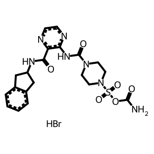 Br.NC(=O)OS(=O)(=O)N1CCN(C(=O)Nc2nccnc2C(=O)NC2Cc3ccccc3C2)CC1